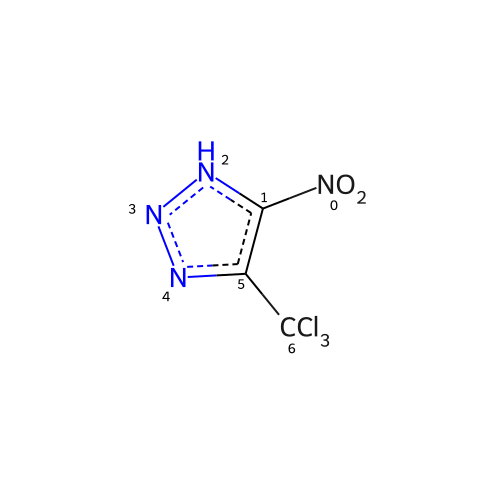 O=[N+]([O-])c1[nH]nnc1C(Cl)(Cl)Cl